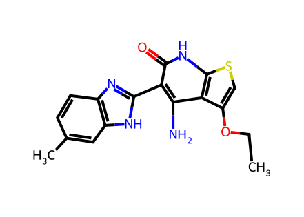 CCOc1csc2[nH]c(=O)c(-c3nc4ccc(C)cc4[nH]3)c(N)c12